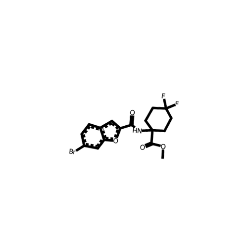 COC(=O)C1(NC(=O)c2cc3ccc(Br)cc3o2)CCC(F)(F)CC1